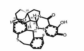 O=C1c2c(O)c(=O)ccn2N([C@H]2c3ccccc3SCc3cccc(F)c32)[C@@H]2[C@H]3C[C@@H]4CC[C@@]3(CCN12)O4